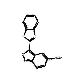 COc1ccc2coc(-c3nc4ccccc4o3)c2c1